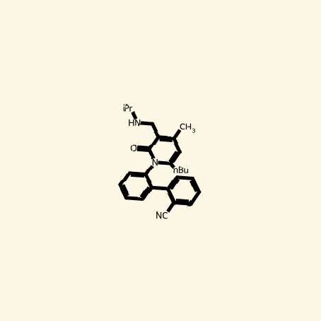 CCCCc1cc(C)c(CNC(C)C)c(=O)n1-c1ccccc1-c1ccccc1C#N